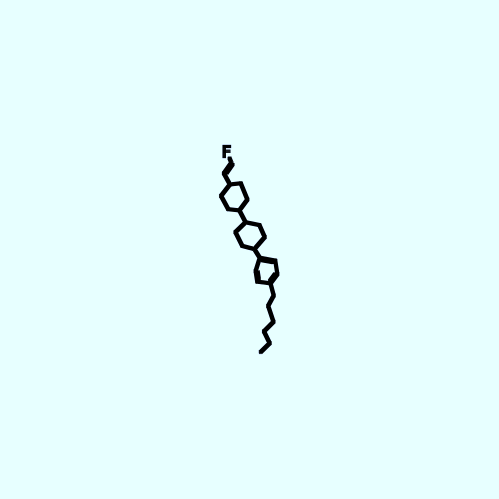 CCCCCCc1ccc(C2CCC(C3CCC(C=CF)CC3)CC2)cc1